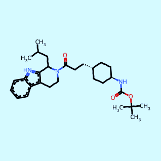 CC(C)CC1c2[nH]c3ccccc3c2CCN1C(=O)CC[C@H]1CC[C@H](NC(=O)OC(C)(C)C)CC1